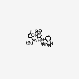 Cc1ccc([C@H](NC2=NS(=O)(=O)N=C2Nc2cccc3nn[nH]c23)C(C)(C)C)o1